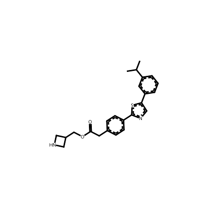 CC(C)c1cccc(-c2cnc(-c3ccc(CC(=O)OCC4CNC4)cc3)s2)c1